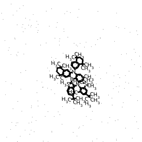 Cc1cc2c3c(c1)N(c1c(C)cc(C(C)(C)C)cc1[Si](C)(C)C)c1c(sc4ccc(C(C)(C)C)cc14)B3c1cc3c(cc1N2c1ccc2c(c1)C(C)(C)CCC2(C)C)C(C)(C)CCC3(C)C